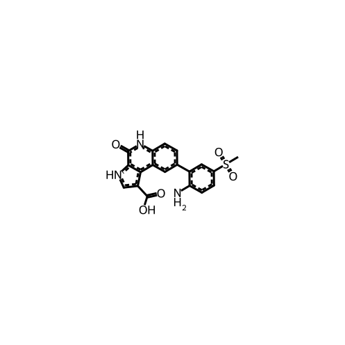 CS(=O)(=O)c1ccc(N)c(-c2ccc3[nH]c(=O)c4[nH]cc(C(=O)O)c4c3c2)c1